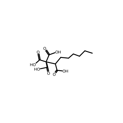 CCCCCCC(C(=O)O)C(C(=O)O)(C(=O)O)C(=O)O